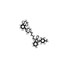 O=c1n(CCCCN2CCN(c3cccc4c3OCCO4)CC2)c2ccccc2n1-c1ccc(F)cc1